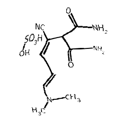 CN(C)C=CC=C(C#N)C(C(N)=O)C(N)=O.O=S(=O)(O)O